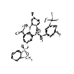 Cc1ccccc1S(=O)(=O)Cc1cc(NC(=O)c2cc(F)cc(C(F)(F)F)c2)c2c(c1)C(=O)NC2c1cc(F)ccc1Cl